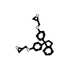 c1ccc2c(c1)CCC2(c1ccc(OCC2CO2)cc1)c1ccc(OCC2CO2)cc1